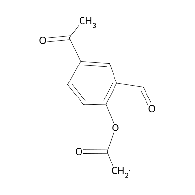 [CH2]C(=O)Oc1ccc(C(C)=O)cc1C=O